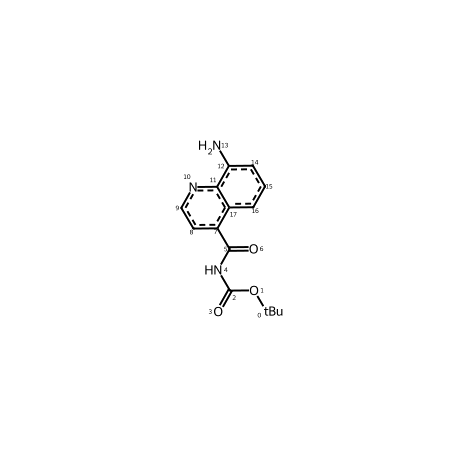 CC(C)(C)OC(=O)NC(=O)c1ccnc2c(N)cccc12